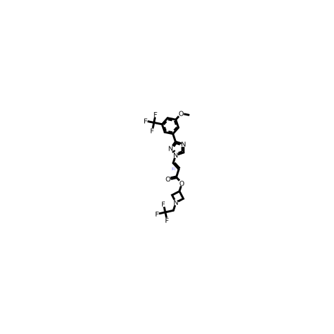 COc1cc(-c2ncn(/C=C/C(=O)OC3CN(CC(F)(F)F)C3)n2)cc(C(F)(F)F)c1